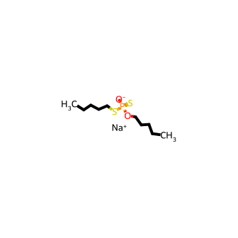 CCCCCOP([O-])(=S)SCCCCC.[Na+]